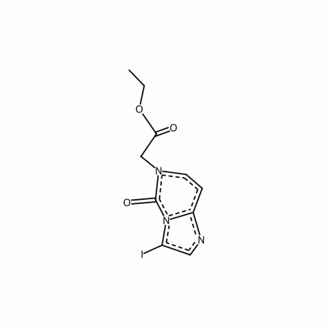 CCOC(=O)Cn1ccc2ncc(I)n2c1=O